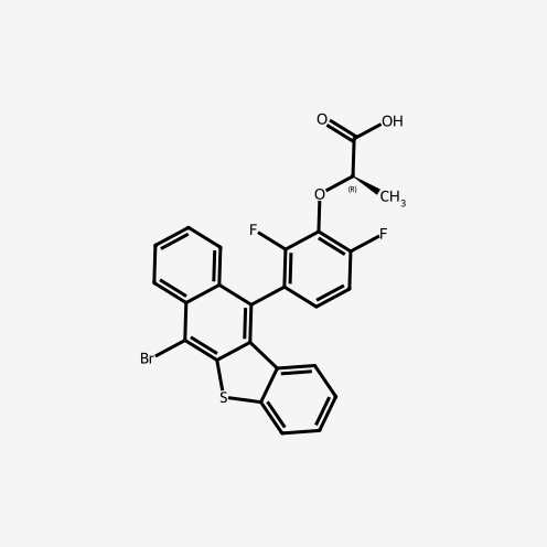 C[C@@H](Oc1c(F)ccc(-c2c3ccccc3c(Br)c3sc4ccccc4c23)c1F)C(=O)O